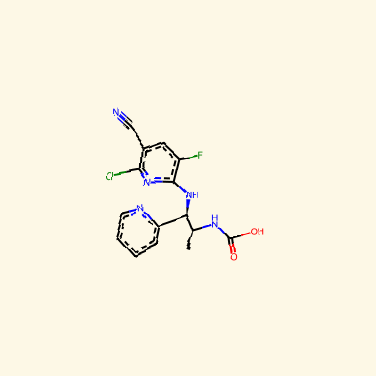 C[C@H](NC(=O)O)[C@H](Nc1nc(Cl)c(C#N)cc1F)c1ccccn1